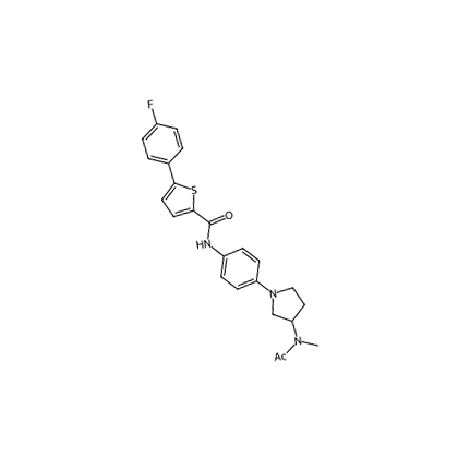 CC(=O)N(C)C1CCN(c2ccc(NC(=O)c3ccc(-c4ccc(F)cc4)s3)cc2)C1